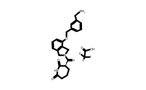 NCc1cccc(COc2cccc3c2CN(C(=O)[C@H]2CCCC(=O)NC2=O)C3)c1.O=C(O)C(F)(F)F